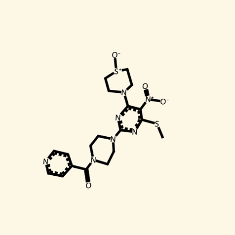 CSc1nc(N2CCN(C(=O)c3ccncc3)CC2)nc(N2CC[S+]([O-])CC2)c1[N+](=O)[O-]